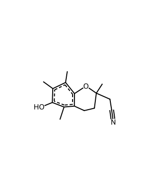 Cc1c(C)c2c(c(C)c1O)CCC(C)(CC#N)O2